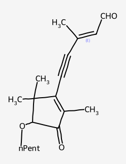 CCCCCOC1C(=O)C(C)=C(C#C/C(C)=C/C=O)C1(C)C